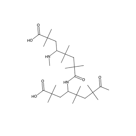 CNC(CC(C)(C)C(=O)O)C(C)(C)CC(C)(C)C(=O)NC(CC(C)(C)C(=O)O)C(C)(C)CC(C)(C)C(C)=O